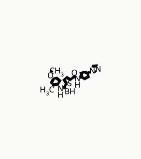 B=C(Nc1ccc(OC)cc1C)c1ccc(C(=O)Nc2ccc(-n3ccnc3)cc2)s1